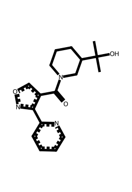 CC(C)(O)C1CCCN(C(=O)c2conc2-c2ccccn2)C1